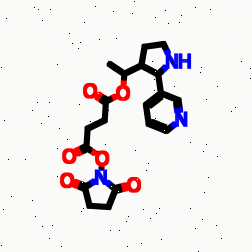 CC(OC(=O)CCC(=O)ON1C(=O)CCC1=O)C1CCNC1c1cccnc1